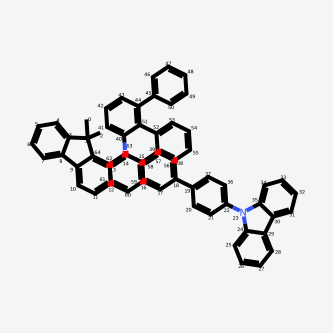 CC1(C)c2ccccc2-c2cccc(N(c3ccc(-c4ccc(-n5c6ccccc6c6ccccc65)cc4)cc3)c3cccc(-c4ccccc4)c3-c3ccccc3-c3ccccc3)c21